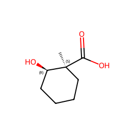 C[C@]1(C(=O)O)CCCC[C@H]1O